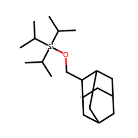 CC(C)[Si](OCC1[C]2CC3CC(C2)CC1C3)(C(C)C)C(C)C